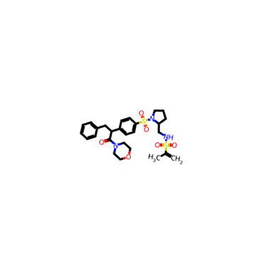 C=C(C)S(=O)(=O)NCC1CCCN1S(=O)(=O)c1ccc(C(Cc2ccccc2)C(=O)N2CCOCC2)cc1